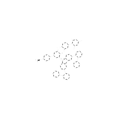 Cc1cc(C)c(-c2ccc3c(c2)B2c4c(cc(-c5ccc(C#N)cc5)cc4-n4c5ccc(-c6ccccc6-c6ccccc6)cc5c5cc(-c6ccccc6-c6ccccc6)cc2c54)O3)c(C)c1